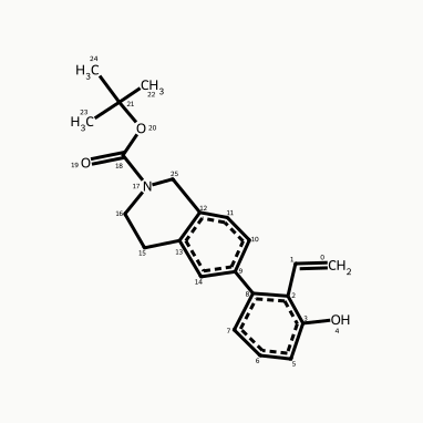 C=Cc1c(O)cccc1-c1ccc2c(c1)CCN(C(=O)OC(C)(C)C)C2